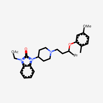 COc1ccc(C)c(OC(CCN2CCC(n3c(=O)n(COC(C)=O)c4ccccc43)CC2)C(C)C)c1